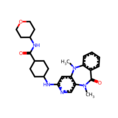 CN1C(=O)c2ccccc2N(C)c2cc(NC3CCC(C(=O)NC4CCOCC4)CC3)ncc21